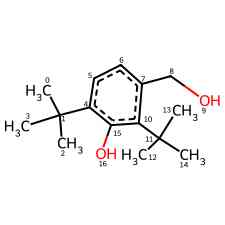 CC(C)(C)c1ccc(CO)c(C(C)(C)C)c1O